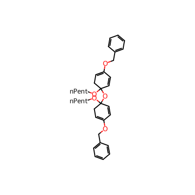 CCCCCOC1(OC2(OCCCCC)C=CC(OCc3ccccc3)=CC2)C=CC(OCc2ccccc2)=CC1